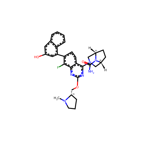 CN1CCC[C@H]1COc1nc(N2C[C@H]3CC[C@@H](C2)N3C(N)=O)c2ccc(-c3cc(O)cc4ccccc34)c(F)c2n1